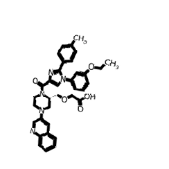 CCOc1cccc(-n2cc(C(=O)N3CCN(c4cnc5ccccc5c4)C[C@H]3COCC(=O)O)nc2-c2ccc(C)cc2)c1